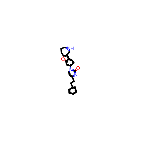 O=c1nc(CCc2ccccc2)ccn1-c1ccc2c3c(oc2c1)CCCNC3